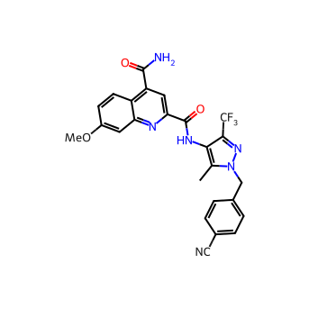 COc1ccc2c(C(N)=O)cc(C(=O)Nc3c(C(F)(F)F)nn(Cc4ccc(C#N)cc4)c3C)nc2c1